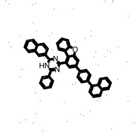 c1ccc(C2=NC(c3cc(-c4ccc(-c5cccc6ccccc56)cc4)cc4oc5ccccc5c34)=NC(c3ccc4ccccc4c3)N2)cc1